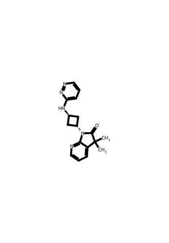 CC1(C)C(=O)N([C@H]2C[C@H](Nc3cccnn3)C2)c2ncccc21